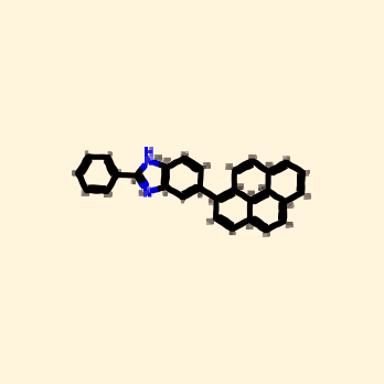 c1ccc(-c2nc3cc(-c4ccc5ccc6cccc7ccc4c5c67)ccc3[nH]2)cc1